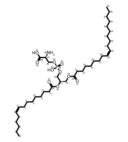 CCCCC/C=C\CCCCCCCC(=O)O[C@H](COC(=O)CCCCCCC/C=C\CCCCCCCCC)COP(=O)(O)OC[C@H](N)C(=O)O